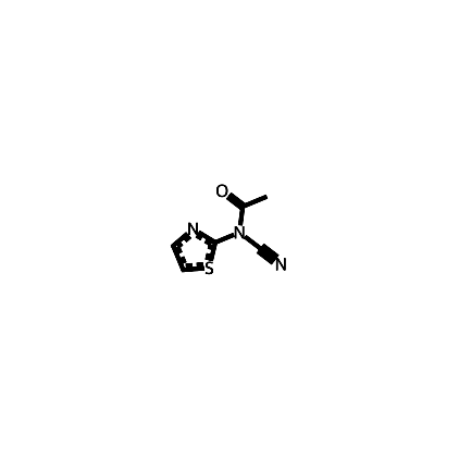 CC(=O)N(C#N)c1nccs1